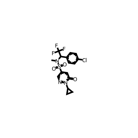 CN(C(c1ccc(Cl)cc1)C(F)(F)F)S(=O)(=O)c1cnn(C2CC2)c(=O)c1